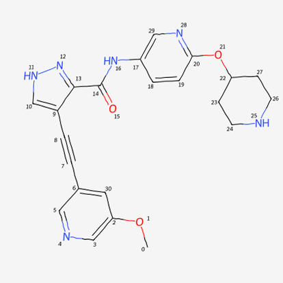 COc1cncc(C#Cc2c[nH]nc2C(=O)Nc2ccc(OC3CCNCC3)nc2)c1